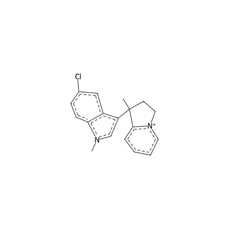 Cn1cc(C2(C)CC[n+]3ccccc32)c2cc(Cl)ccc21